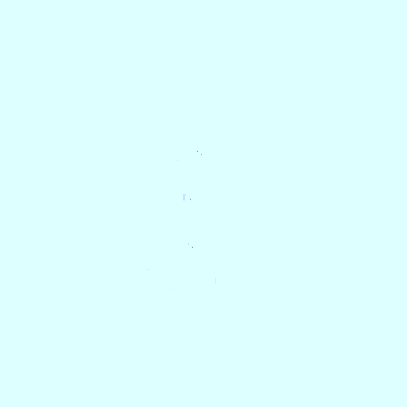 CC(C)CC(NC(=O)CNC(=O)C1CCN1c1ccc(F)cc1F)B(O)O